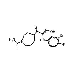 N[S+]([O-])N1CCCC(C(=O)/C(=N/O)Nc2ccc(F)c(Br)c2)CC1